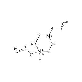 C=CCN1CC[N+](C)(CC=C)CC1